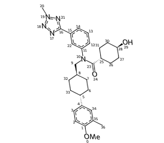 COc1ccc([C@H]2CC[C@H](CN(c3cccc(-c4nnn(C)n4)c3)C(=O)[C@H]3CC[C@H](O)CC3)CC2)cc1C